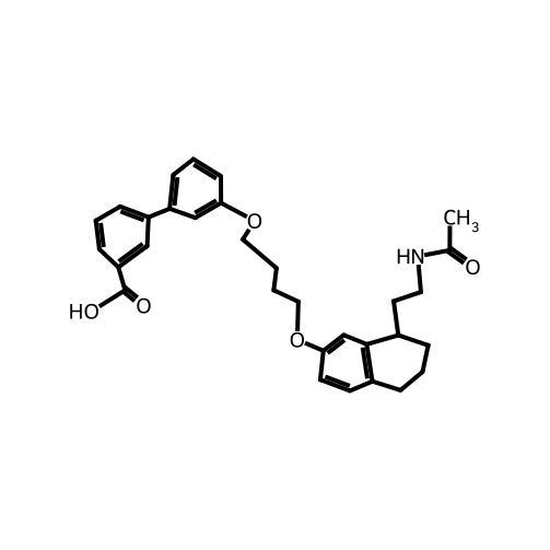 CC(=O)NCCC1CCCc2ccc(OCCCCOc3cccc(-c4cccc(C(=O)O)c4)c3)cc21